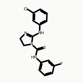 Fc1cccc(NC(=S)N2CCN=C2Nc2cccc(Cl)c2)c1